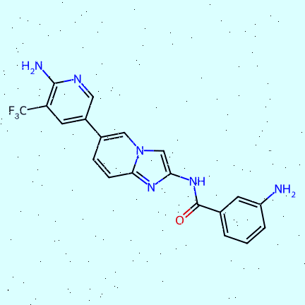 Nc1cccc(C(=O)Nc2cn3cc(-c4cnc(N)c(C(F)(F)F)c4)ccc3n2)c1